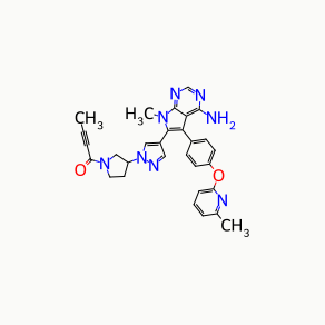 CC#CC(=O)N1CCC(n2cc(-c3c(-c4ccc(Oc5cccc(C)n5)cc4)c4c(N)ncnc4n3C)cn2)C1